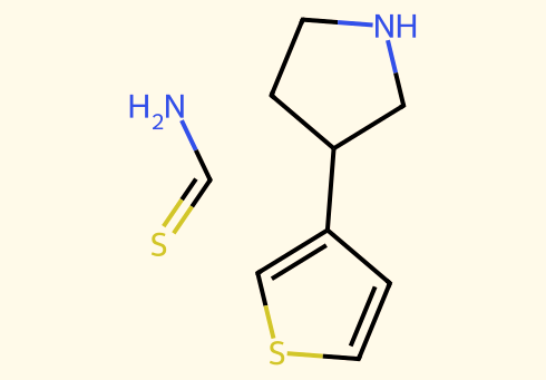 NC=S.c1cc(C2CCNC2)cs1